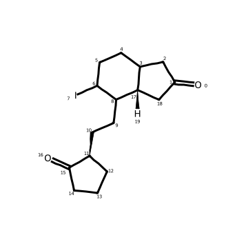 O=C1CC2CCC(I)C(CC[C@H]3CCCC3=O)[C@H]2C1